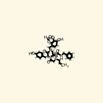 C=CCN1CC(=O)N2[C@@H](CC3=CCC(O)C=C3)C(=O)N(CC3=CCC(O)C(OC)=C3OC)C[C@@H]2N1C(=O)NCc1ccccc1